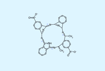 C=C1/N=c2\[nH]/c(c3ccccc23)=N\C2=NC(=N\C3=NC(/N=C(\C)c4ccc([N+](=O)[O-])cc41)c1ccccc13)/c1cc([N+](=O)[O-])ccc12